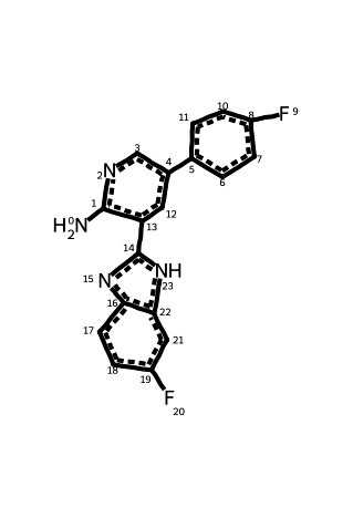 Nc1ncc(-c2ccc(F)cc2)cc1-c1nc2ccc(F)cc2[nH]1